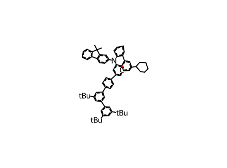 CC(C)(C)c1cc(-c2ccc(-c3cccc(N(c4ccc5c(c4)C(C)(C)c4ccccc4-5)c4ccccc4-c4cccc(C5CCCCC5)c4)c3)cc2)cc(-c2cc(C(C)(C)C)cc(C(C)(C)C)c2)c1